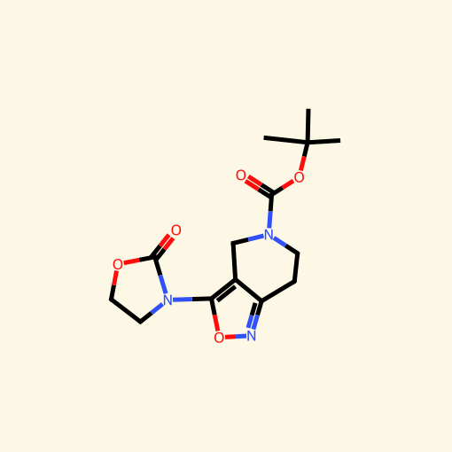 CC(C)(C)OC(=O)N1CCc2noc(N3CCOC3=O)c2C1